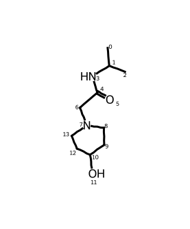 CC(C)NC(=O)CN1CCC(O)CC1